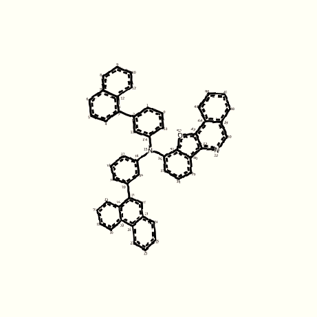 c1cc(-c2cccc3ccccc23)cc(N(c2cccc(-c3cc4ccccc4c4ccccc34)c2)c2cccc3c2oc2c4ccccc4cnc32)c1